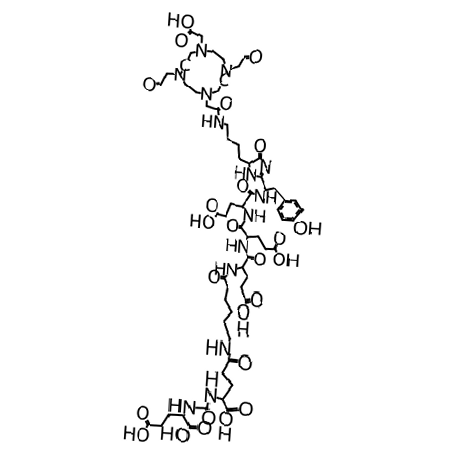 O=CCN1CCN(CC(=O)O)CCN(CC=O)CCN(CC(=O)NCCCCC2NC(C(Cc3ccc(O)cc3)NC(=O)C(CCC(=O)O)NC(=O)C(CCC(=O)O)NC(=O)C(CCC(=O)O)NC(=O)CCCCCNC(=O)CCC(NC(=O)NC(CCC(=O)O)C(=O)O)C(=O)O)=NC2=O)CC1